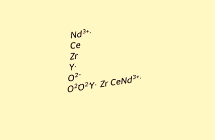 [Ce].[Ce].[Nd+3].[Nd+3].[O-2].[O-2].[O-2].[Y].[Y].[Zr].[Zr]